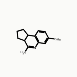 COc1ccc2c(c1)N=C(N)C1CCCC21